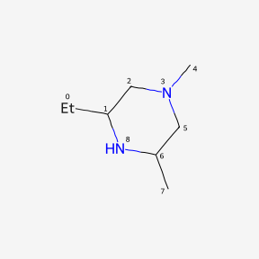 CCC1CN(C)CC(C)N1